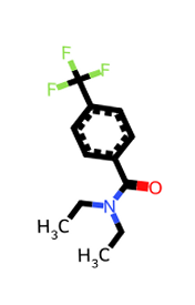 CCN(CC)C(=O)c1ccc(C(F)(F)F)cc1